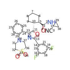 N#CC1(NC(=O)[C@@H]2CCCC[C@H]2c2oc(-c3cc(F)cc(F)c3)nc2-c2ccccc2N2CCS(=O)(=O)CC2)CC1